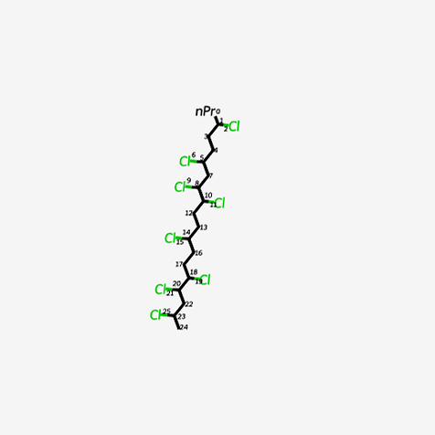 CCCC(Cl)CCC(Cl)CC(Cl)C(Cl)CCC(Cl)CCC(Cl)C(Cl)CC(C)Cl